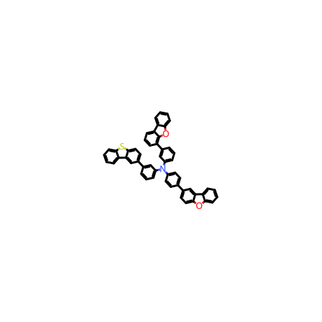 c1cc(-c2ccc3sc4ccccc4c3c2)cc(N(c2ccc(-c3ccc4oc5ccccc5c4c3)cc2)c2cccc(-c3cccc4c3oc3ccccc34)c2)c1